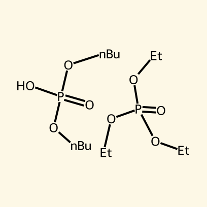 CCCCOP(=O)(O)OCCCC.CCOP(=O)(OCC)OCC